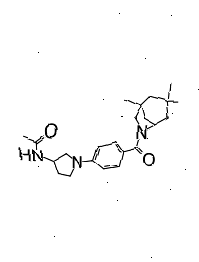 CC(=O)NC1CCN(c2ccc(C(=O)N3CC4(C)CC3CC(C)(C)C4)cc2)C1